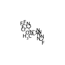 C[C@H]1Cc2c(nnn2-c2ncc(F)cn2)CN1C(=O)c1ccnc(C(F)(F)F)c1Cl